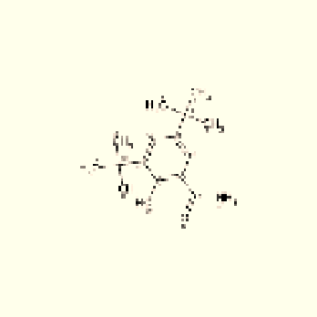 CC(C)(C)c1cc(C=O)c(O)c(C(C)(C)C)c1.N